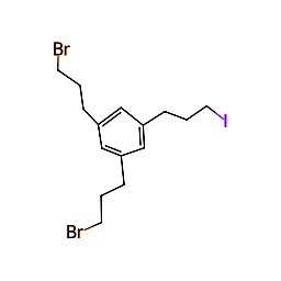 BrCCCc1cc(CCCBr)cc(CCCI)c1